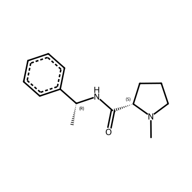 C[C@@H](NC(=O)[C@@H]1CCCN1C)c1ccccc1